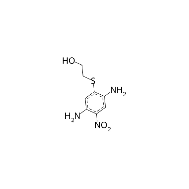 Nc1cc([N+](=O)[O-])c(N)cc1SCCO